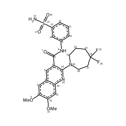 COc1cc2cc(C(=O)Nc3cccc(S(N)(=O)=O)c3)c(N3CCCC(F)(F)CC3)nc2cc1OC